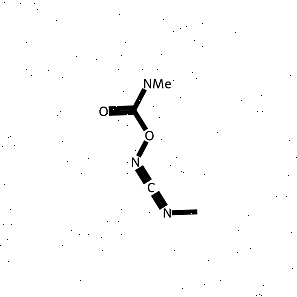 CN=C=NOC(=O)NC